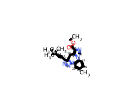 CCOC(=O)c1ncn2c1Cc1c(C#C[Si](C)(C)C)nnn1-c1cc(C)ccc1-2